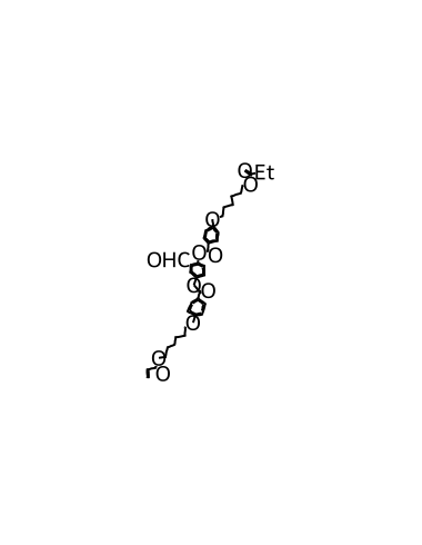 C=CC(=O)OCCCCCCOc1ccc(C(=O)Oc2ccc(OC(=O)c3ccc(OCCCCCCOC(=O)CC)cc3)c(C=O)c2)cc1